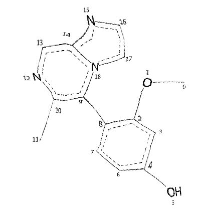 COc1cc(O)ccc1-c1c(C)ncc2nccn12